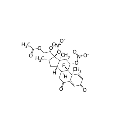 CC(=O)OCC(=O)[C@@]1(O[N+](=O)[O-])[C@@H](C)C[C@H]2[C@@H]3CC(=O)C4=CC(=O)C=C[C@]4(C)[C@@]3(F)[C@@H](O[N+](=O)[O-])C[C@@]21C